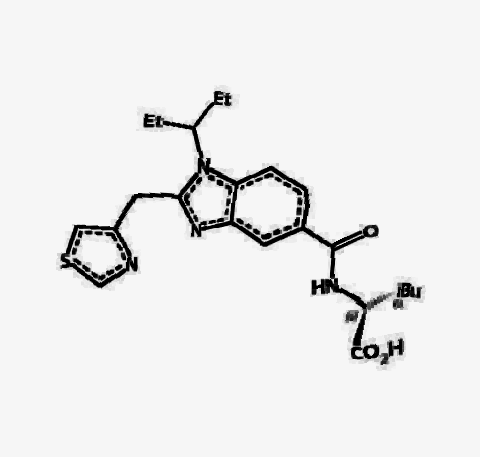 CCC(CC)n1c(Cc2cscn2)nc2cc(C(=O)N[C@H](C(=O)O)[C@@H](C)CC)ccc21